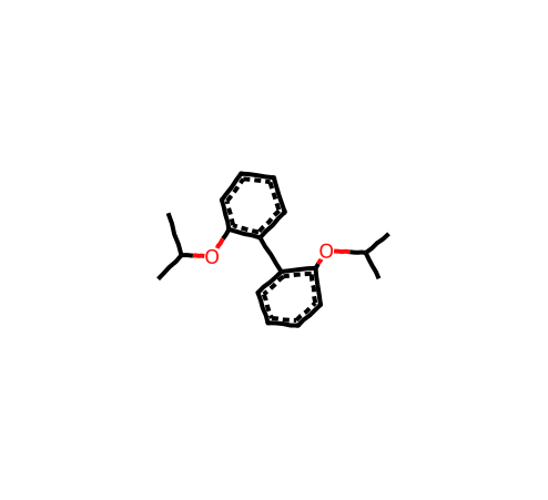 CC(C)Oc1ccccc1-c1ccccc1OC(C)C